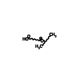 CCCCCCC(CCCC)COC(=O)CCCCCCCC(=O)O